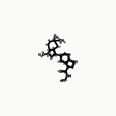 CCCNC(=O)c1c[nH]c2ncc(-c3nn(C)c4c3CC(C)(C)CC4)nc12